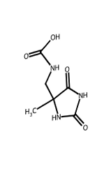 CC1(CNC(=O)O)NC(=O)NC1=O